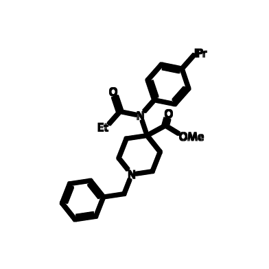 CCC(=O)N(c1ccc(C(C)C)cc1)C1(C(=O)OC)CCN(Cc2ccccc2)CC1